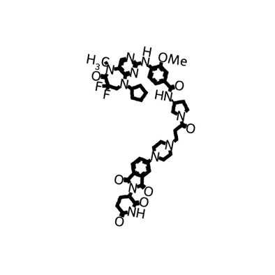 COc1cc(C(=O)N[C@H]2CCN(C(=O)CCN3CCN(c4ccc5c(c4)C(=O)N(C4CCC(=O)NC4=O)C5=O)CC3)C2)ccc1Nc1ncc2c(n1)N(C1CCCC1)CC(F)(F)C(=O)N2C